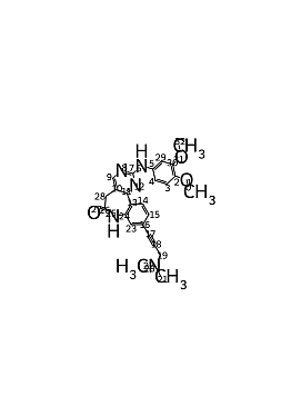 COc1ccc(Nc2ncc3c(n2)-c2ccc(C#CCN(C)C)cc2NC(=O)C3)cc1OC